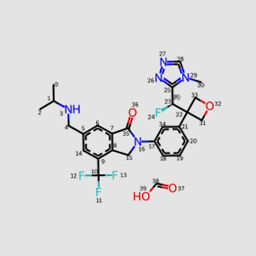 CC(C)NCc1cc2c(c(C(F)(F)F)c1)CN(c1cccc(C3([C@@H](F)c4nncn4C)COC3)c1)C2=O.O=CO